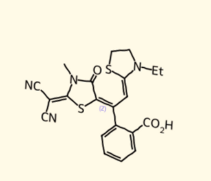 CCN1CCSC1=C/C(c1ccccc1C(=O)O)=c1/sc(=C(C#N)C#N)n(C)c1=O